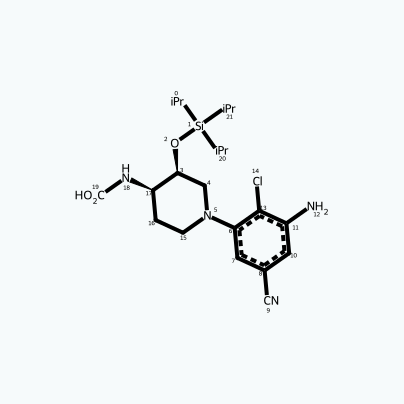 CC(C)[Si](O[C@H]1CN(c2cc(C#N)cc(N)c2Cl)CC[C@H]1NC(=O)O)(C(C)C)C(C)C